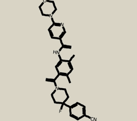 C=C(Nc1cc(C(=C)N2CCC(F)(c3ccc(C#N)cc3)CC2)c(C)cc1C)c1ccc(N2CCOCC2)nc1